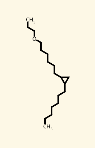 CCCCCCCC1CC1CCCCCCOCCC